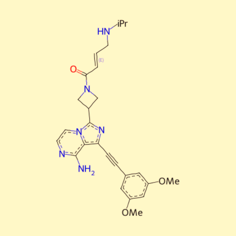 COc1cc(C#Cc2nc(C3CN(C(=O)/C=C/CNC(C)C)C3)n3ccnc(N)c23)cc(OC)c1